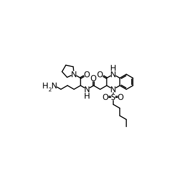 CCCCCS(=O)(=O)N1c2ccccc2NC(=O)C1CC(=O)NC(CCCN)C(=O)N1CCCC1